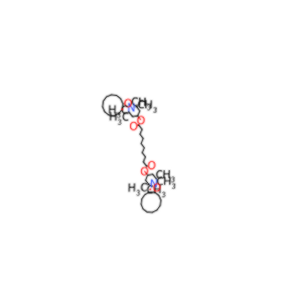 CC1(C)CC(OC(=O)CCCCCCCCC(=O)OC2CC(C)(C)N(OC3CCCCCCCCCCC3)C(C)(C)C2)CC(C)(C)N1OC1CCCCCCCCCCC1